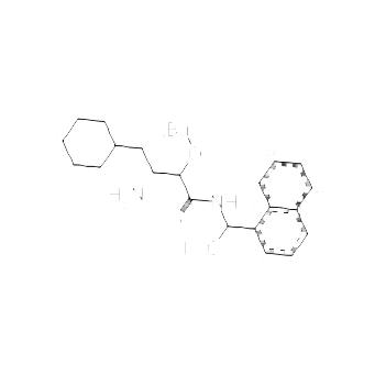 CC(NC(=O)C(OC(C)(C)C)[C@H](N)CC1CCCCC1)c1cccc2ccccc12